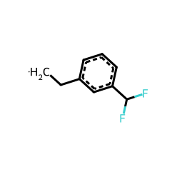 [CH2]Cc1cccc(C(F)F)c1